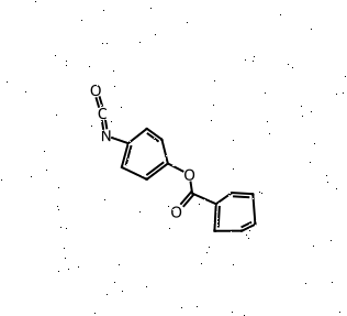 O=C=Nc1ccc(OC(=O)c2ccccc2)cc1